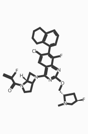 C=C(F)C(=O)N1CCC2[C@H]1CN2c1nc(OC[C@@H]2C[C@@H](F)CN2C)nc2c(F)c(-c3cccc4c3CCCC4)c(Cl)cc12